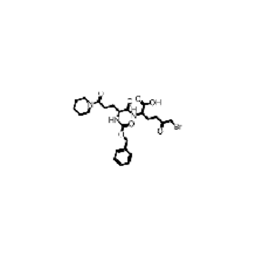 O=C(CBr)CCC(NC(=O)C(CCC(=O)N1CCCCC1)NC(=O)OCc1ccccc1)C(=O)O